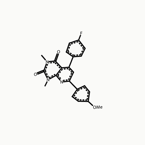 COc1ccc(-c2cc(-c3ccc(F)cc3)c3c(=O)n(C)c(=O)n(C)c3n2)cc1